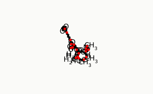 C=CC[C@H]1C(=O)C(C)(C)[C@@H](OC(=O)OCc2ccc(OC(=O)CCCCCCCCCCN3C(=O)C=CC3=O)c([N+](=O)[O-])c2)CC(=O)O[C@H](c2ccc3sc(C)nc3c2)C[C@H]2O[C@@]2(C)CCC[C@H](C)[C@@H]1O